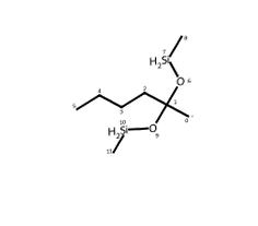 [CH2]C(CCCC)(O[SiH2]C)O[SiH2]C